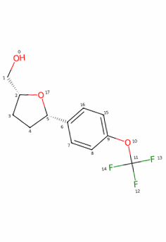 OC[C@H]1CC[C@@H](c2ccc(OC(F)(F)F)cc2)O1